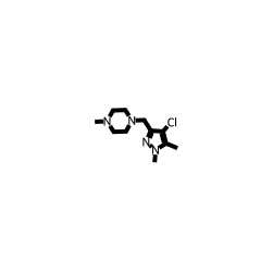 Cc1c(Cl)c(CN2CCN(C)CC2)nn1C